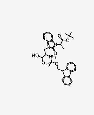 C[C@H](C(=O)OC(C)(C)C)n1c(=O)n(C[C@@H](NC(=O)OCC2c3ccccc3-c3ccccc32)C(=O)O)c2ccccc21